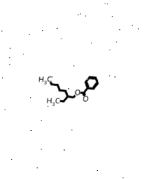 CCCCCC(CC)COC(=O)c1ccccc1